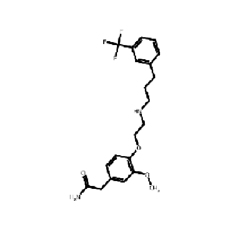 COc1cc(CC(N)=O)ccc1OCCNCCCc1cccc(C(F)(F)F)c1